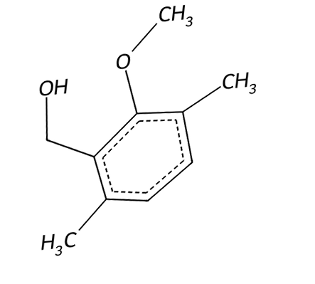 COc1c(C)ccc(C)c1CO